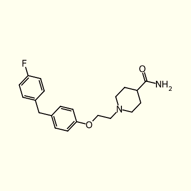 NC(=O)C1CCN(CCOc2ccc(Cc3ccc(F)cc3)cc2)CC1